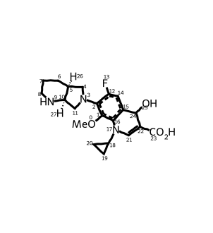 COc1c(N2C[C@@H]3CCCN[C@@H]3C2)c(F)cc2c1N(C1CC1)C=C(C(=O)O)C2O